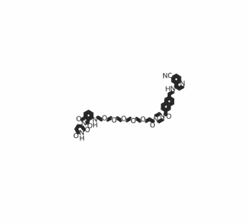 N#Cc1ccc2nccc(NCCc3ccc4cc(C(=O)N5CCN(C(=O)CCOCCOCCOCCOCCOCCNc6cccc7c6C(=O)N(C6CCC(=O)NC6=O)C7=O)CC5)ccc4c3)c2c1